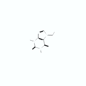 Cn1c(=O)c2c(ncn2C[C]=O)n(C)c1=O